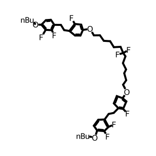 CCCCOc1ccc(CCc2ccc(OCCCCCCC(F)(F)CCCCCCOc3ccc(CCc4ccc(OCCCC)c(F)c4F)c(F)c3)cc2F)c(F)c1F